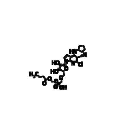 CCCC(=O)OCOP(=O)(O)COCC1O[C@@H](n2ccc3c(NC4CCCC4)c(C#N)c(Cl)nc32)[C@H](O)[C@@H]1O